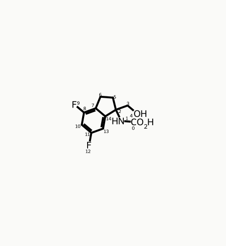 O=C(O)NC1(CO)CCc2c(F)cc(F)cc21